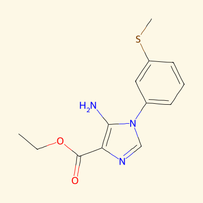 CCOC(=O)c1ncn(-c2cccc(SC)c2)c1N